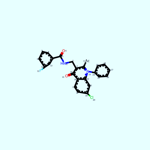 CC(=O)c1c(CNC(=O)c2cccc(F)c2)c(=O)c2ccc(Cl)cc2n1-c1ccccc1